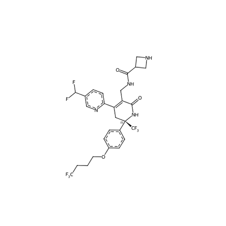 O=C1N[C@@](c2ccc(OCCCC(F)(F)F)cc2)(C(F)(F)F)CC(c2ccc(C(F)F)cn2)=C1CNC(=O)C1CNC1